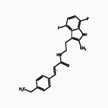 CCc1ccc(/C=C/C(=O)NCCc2c(C)[nH]c3c(F)ccc(F)c23)cc1